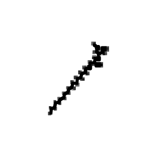 CCCCCCCCCCCCCCCCC=COCC(O)COC(CO)COC